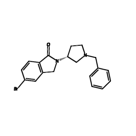 O=C1c2ccc(Br)cc2CN1[C@@H]1CCN(Cc2ccccc2)C1